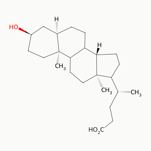 C[C@H](CCC(=O)O)C1CC[C@H]2C3CC[C@@H]4C[C@H](O)CC[C@]4(C)C3CC[C@]12C